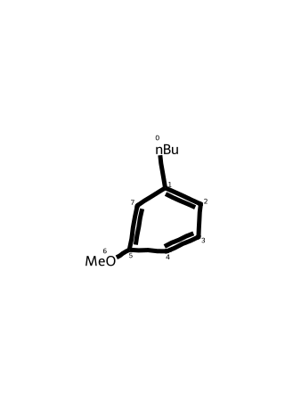 CCCCc1cc[c]c(OC)c1